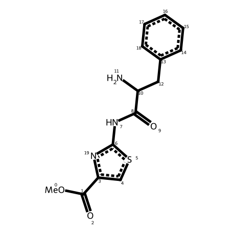 COC(=O)c1csc(NC(=O)C(N)Cc2ccccc2)n1